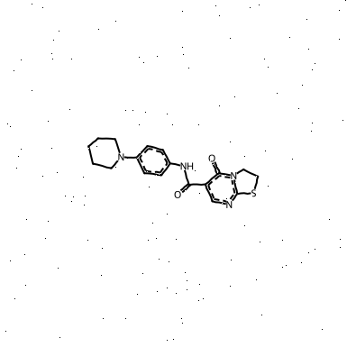 O=C(Nc1ccc(N2CCCCC2)cc1)c1cnc2n(c1=O)CCS2